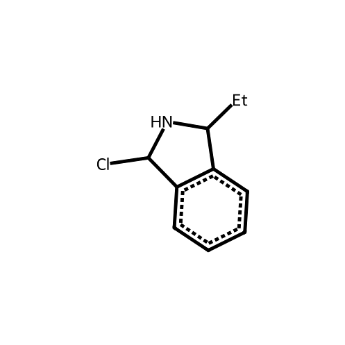 CCC1NC(Cl)c2ccccc21